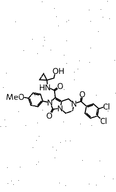 COc1ccc(-n2c(C(=O)NC3(CO)CC3)c3n(c2=O)CCN(C(=O)c2ccc(Cl)c(Cl)c2)C3)cc1